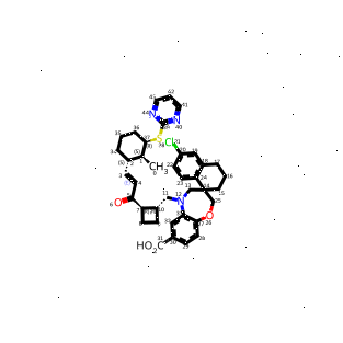 C[C@H]1[C@H](/C=C/C(=O)[C@@H]2CC[C@H]2CN2CC3(CCCc4cc(Cl)ccc43)COc3ccc(C(=O)O)cc32)CCC[C@H]1Sc1ncccn1